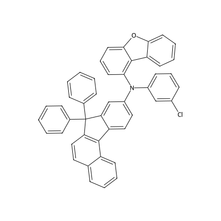 Clc1cccc(N(c2ccc3c(c2)C(c2ccccc2)(c2ccccc2)c2ccc4ccccc4c2-3)c2cccc3oc4ccccc4c23)c1